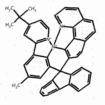 Cc1cc2c3c(c1)C1(c4ccccc4-c4ccccc41)c1ccc4ccc5ccc[n+]6c5c4c1[N+]36[n+]1ccc(C(C)(C)C)cc1-2